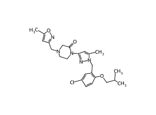 Cc1cc(CN2CCN(c3cc(C)n(Cc4cc(Cl)ccc4OCC(C)C)n3)C(=O)C2)no1